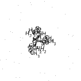 COC(OC)[SiH2]C#CC(C#C[SiH2]C(OC)OC)(C#C[SiH2]C(OC)OC)O[SiH3]